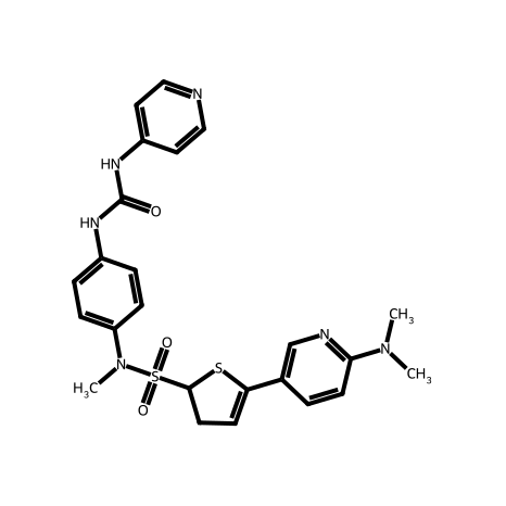 CN(C)c1ccc(C2=CCC(S(=O)(=O)N(C)c3ccc(NC(=O)Nc4ccncc4)cc3)S2)cn1